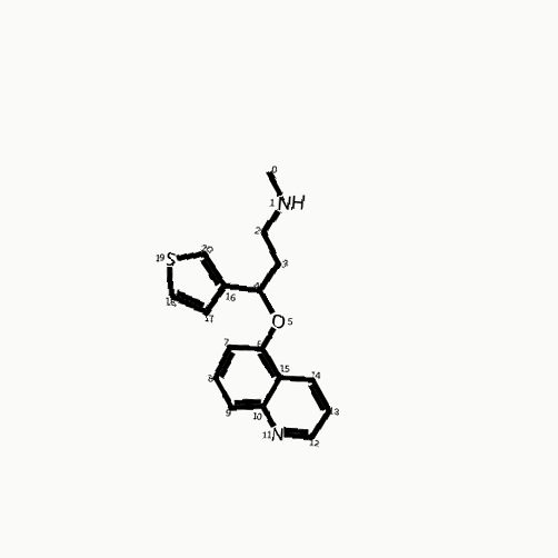 CNCCC(Oc1cccc2ncccc12)c1ccsc1